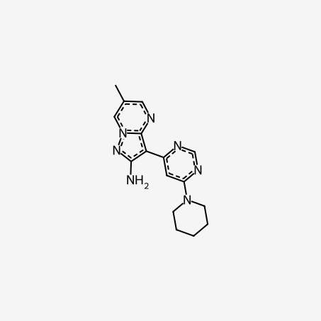 Cc1cnc2c(-c3cc(N4CCCCC4)ncn3)c(N)nn2c1